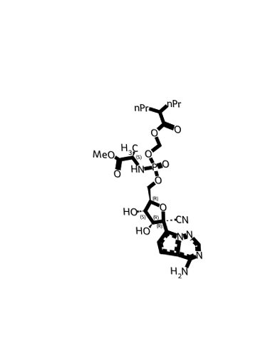 CCCC(CCC)C(=O)OCOP(=O)(N[C@@H](C)C(=O)OC)OC[C@H]1O[C@@](C#N)(c2ccc3c(N)ncnn23)[C@H](O)[C@@H]1O